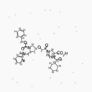 O=C(CO[C@@H]1C[C@@H](CNc2ccccn2)N(C(=O)OCc2ccccc2)C1)NC[C@H](NC(=O)C1CCCCC1)C(=O)O